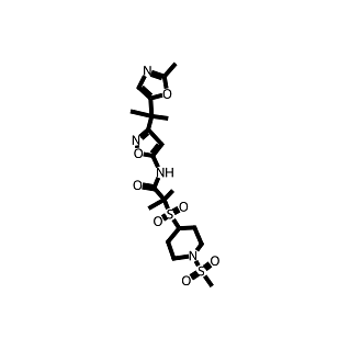 Cc1ncc(C(C)(C)c2cc(NC(=O)C(C)(C)S(=O)(=O)C3CCN(S(C)(=O)=O)CC3)on2)o1